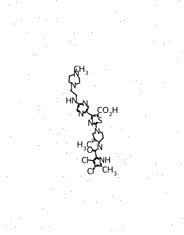 Cc1[nH]c(C(=O)/N=C2/CCN(c3nc(-c4cnc(NCCN5CCN(C)CC5)cn4)c(C(=O)O)s3)C[C@@H]2C)c(Cl)c1Cl